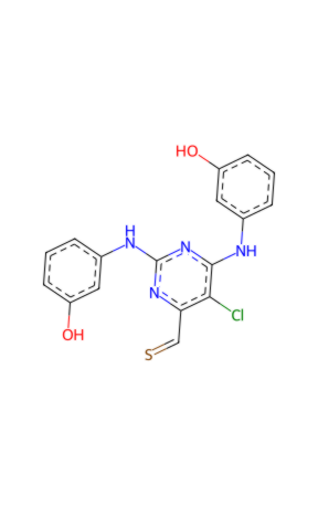 Oc1cccc(Nc2nc(C=S)c(Cl)c(Nc3cccc(O)c3)n2)c1